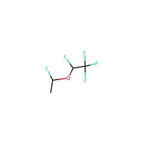 CC(F)OC(F)C(F)(F)F